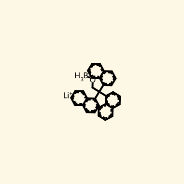 [BH3-]OCC(c1cccc2ccccc12)(c1cccc2ccccc12)c1cccc2ccccc12.[Li+]